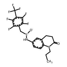 CCCN1C(=O)CCc2cc(N[S+]([O-])Cc3c(F)c(F)c(C(F)(F)F)c(F)c3F)ccc21